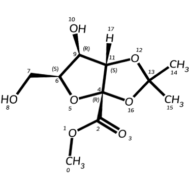 COC(=O)[C@@]12O[C@@H](CO)[C@@H](O)[C@@H]1OC(C)(C)O2